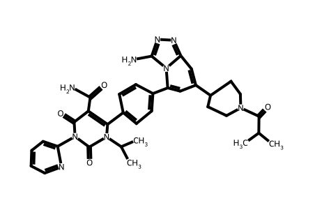 CC(C)C(=O)N1CCC(c2cc(-c3ccc(-c4c(C(N)=O)c(=O)n(-c5ccccn5)c(=O)n4C(C)C)cc3)n3c(N)nnc3c2)CC1